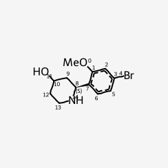 COc1cc(Br)ccc1[C@@H]1CC(O)CCN1